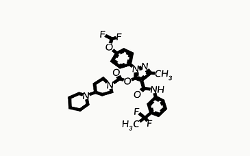 Cc1nn(-c2ccc(OC(F)F)cc2)c(OC(=O)N2CCC(N3CCCCC3)CC2)c1C(=O)Nc1cccc(C(C)(F)F)c1